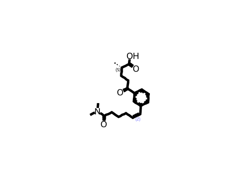 C[C@@H](CCC(=O)c1cccc(/C=C\CCCC(=O)N(C)C)c1)C(=O)O